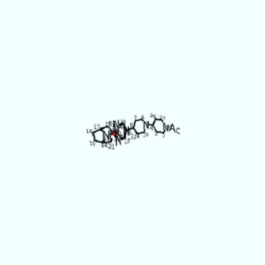 CC(=O)N1CCC(N2CCC(c3cnc(N4C5CCC4CN(C)C5)nc3)CC2)CC1